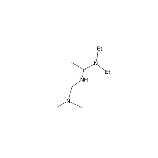 CCN(CC)[C](C)NCN(C)C